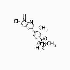 Cc1cc(S(=O)(=O)N(C)C)ccc1-c1cnc2[nH]c(Cl)cc2c1